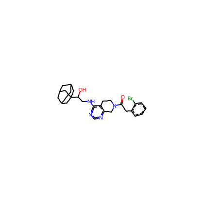 O=C(Cc1ccccc1Br)N1CCc2c(ncnc2NCC(O)C23CC4CC(CC(C4)C2)C3)C1